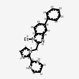 CCn1c(Cn2ccnc2-c2ncccn2)nc2cc(-c3ccccc3)ccc21